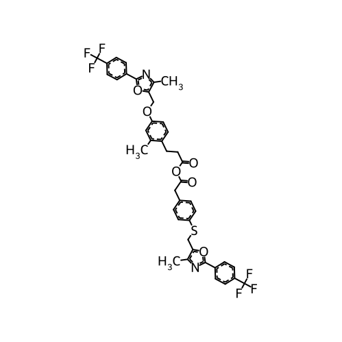 Cc1cc(OCc2oc(-c3ccc(C(F)(F)F)cc3)nc2C)ccc1CCC(=O)OC(=O)Cc1ccc(SCc2oc(-c3ccc(C(F)(F)F)cc3)nc2C)cc1